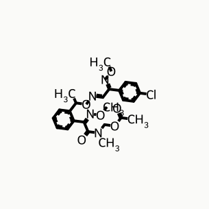 CON=C(C=NOC(C)c1ccccc1C(=NOC)C(=O)N(C)COC(C)=O)c1ccc(Cl)cc1